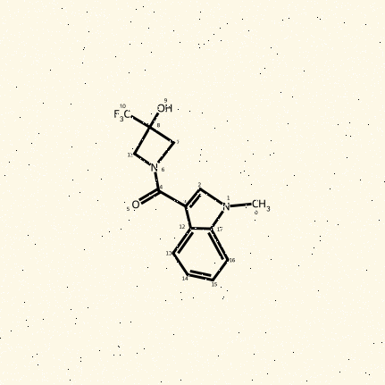 Cn1cc(C(=O)N2CC(O)(C(F)(F)F)C2)c2ccccc21